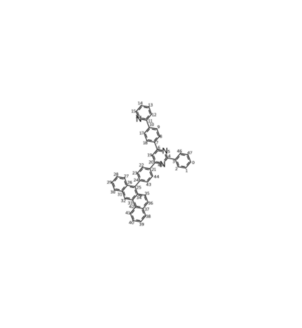 c1ccc(-c2nc(-c3ccc(-c4ccccn4)cc3)cc(-c3ccc(-c4c5ccccc5cc5c4ccc4ccccc45)cc3)n2)cc1